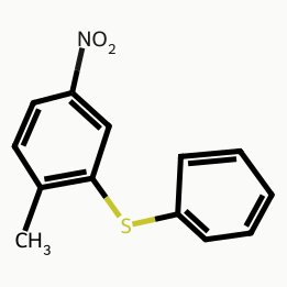 Cc1ccc([N+](=O)[O-])cc1Sc1ccccc1